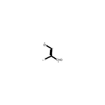 CC/C=C(\I)C=O